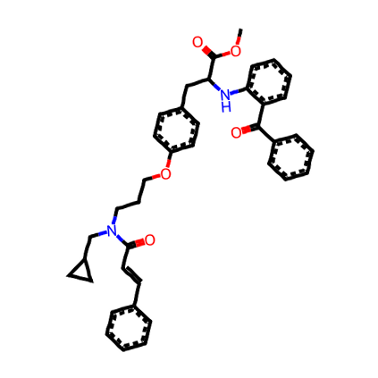 COC(=O)C(Cc1ccc(OCCCN(CC2CC2)C(=O)C=Cc2ccccc2)cc1)Nc1ccccc1C(=O)c1ccccc1